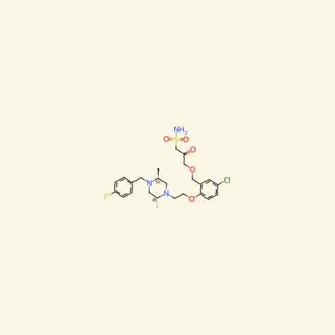 C[C@@H]1CN(Cc2ccc(F)cc2)[C@@H](C)CN1CCOc1ccc(Cl)cc1COCC(=O)CS(N)(=O)=O